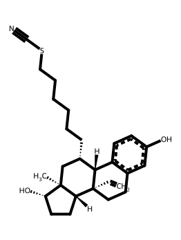 C=C[C@@]12CCc3cc(O)ccc3[C@H]1[C@@H](CCCCCCSC#N)C[C@@]1(C)[C@H]2CC[C@@H]1O